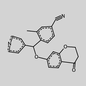 Cc1cc(C#N)ccc1C(Oc1ccc2c(c1)OCCC2=O)c1ccncc1